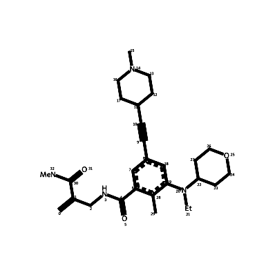 C=C(CNC(=O)c1cc(C#CC2CCN(C)CC2)cc(N(CC)C2CCOCC2)c1C)C(=O)NC